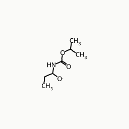 CCC([O])NC(=O)OC(C)C